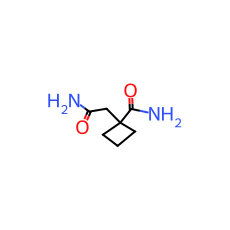 NC(=O)CC1(C(N)=O)CCC1